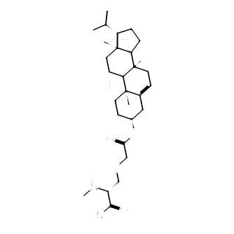 CN[C@@H](CSCC(=O)O[C@H]1CC[C@@]2(C)C(=CC[C@H]3[C@@H]4CC[C@H](C(C)C)[C@@]4(C)CC[C@@H]32)C1)C(N)=O